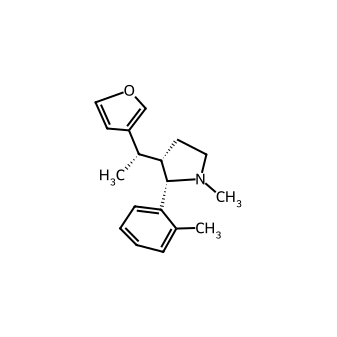 Cc1ccccc1[C@@H]1[C@H]([C@H](C)c2ccoc2)CCN1C